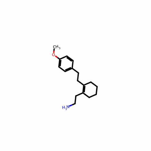 COc1ccc(CCC2=C(CCN)CCCC2)cc1